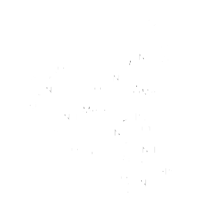 CC[C@H](C)[C@@H]([C@@H](CC(=O)N1CCC[C@H]1[C@H](OC)[C@@H](C)C(=O)N[C@H](C)[C@@H](O)c1ccccc1)OC)N(C)C(=O)[C@@H](NC(=O)[C@H](C(C)C)N(C)C(=O)OC1/C=C/CC(OCC(=O)NCCN2C(=O)C=CC2=O)CCC1)C(C)C